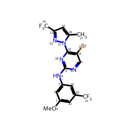 COc1cc(Nc2ncc(Br)c(-n3nc(C(F)(F)F)cc3C)n2)cc(C(F)(F)F)c1